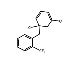 FC(F)(F)c1ccccc1CC1(Cl)[CH]C(Cl)=CC=C1